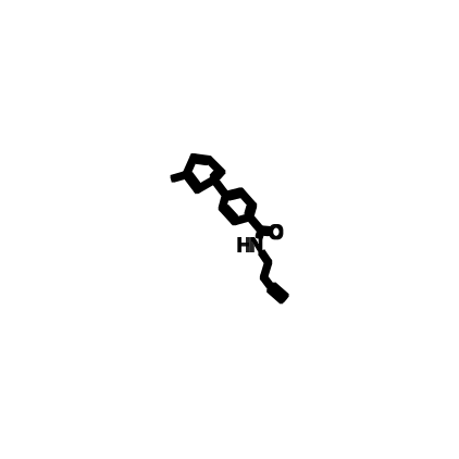 C#CCCNC(=O)c1ccc(-c2cccc(C)c2)cc1